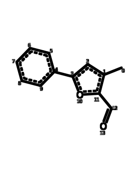 Cc1cc(-c2ccccc2)oc1C=O